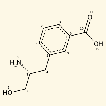 N[C@@H](CO)Cc1cccc(C(=O)O)c1